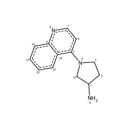 NC1CCN(c2ccnc3ccccc23)C1